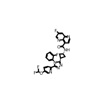 O=C(N[C@H]1C[C@H](c2nnc(-c3ccc(OC(F)F)cn3)n2-c2ccccc2F)C1)c1ccnc2cc(F)cnc12